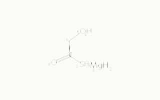 O=C(S)CO.[MgH2]